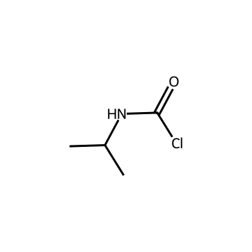 CC(C)NC(=O)Cl